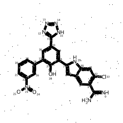 N=C(N)c1cc2cc(-c3cc(-c4nnn[nH]4)cc(-c4cccc([N+](=O)[O-])c4)c3O)[nH]c2cc1Cl